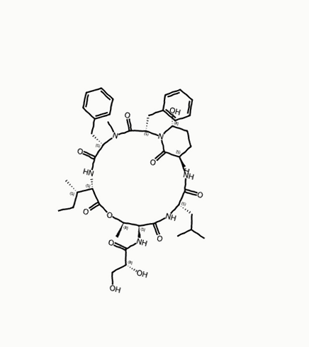 CC[C@H](C)[C@@H]1NC(=O)[C@H](Cc2ccccc2)N(C)C(=O)[C@H](Cc2ccccc2)N2C(=O)[C@H](CC[C@H]2O)NC(=O)[C@H](CC(C)C)NC(=O)[C@@H](NC(=O)[C@H](O)CO)[C@@H](C)OC1=O